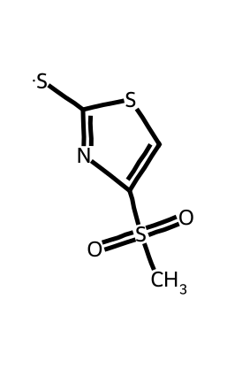 CS(=O)(=O)c1csc([S])n1